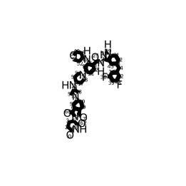 O=C1CCC(N2C(=O)c3ccc(N4CC(NC5CCN(c6ccc(C(=O)Nc7n[nH]c8ccc(Cc9cc(F)cc(F)c9)cc78)c(NC7CCOCC7)c6)CC5)C4)cc3C2=O)C(=O)N1